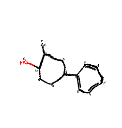 CC(=O)C1CC(c2ccccc2)CCC1O